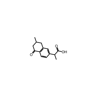 CC1CC(=O)c2ccc(C(C)C(=O)O)cc2C1